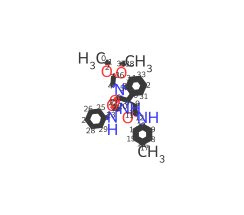 CCOC(CN1C(=O)[C@@](CC(=O)Nc2ccc(C)cc2)(NC(=O)NC2CCCCC2)c2ccccc21)OCC